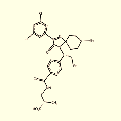 CC(C)C[C@H](c1ccc(C(=O)NC[C@H](C)C(=O)O)cc1)N1C(=O)C(c2cc(Cl)cc(Cl)c2)=NC12CCC(C(C)(C)C)CC2